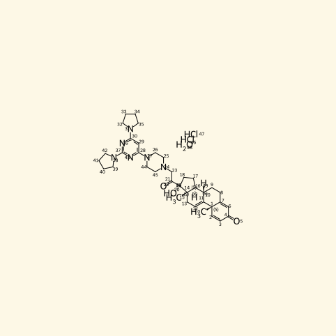 C[C@]12C=CC(=O)C=C1CC[C@@H]1C2=CC[C@@]2(C)[C@H]1CC[C@]2(O)C(=O)CN1CCN(c2cc(N3CCCC3)nc(N3CCCC3)n2)CC1.Cl.Cl.O